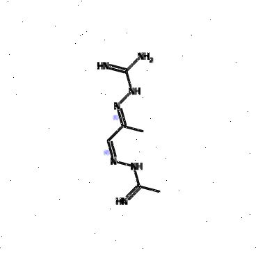 CC(=N)N/N=C\C(C)=N\NC(=N)N